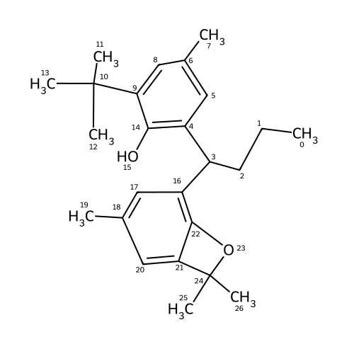 CCCC(c1cc(C)cc(C(C)(C)C)c1O)c1cc(C)cc2c1OC2(C)C